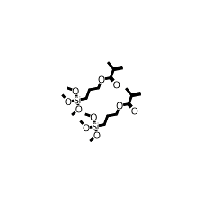 C=C(C)C(=O)OCCC[Si](OC)(OC)OC.C=C(C)C(=O)OCCC[Si](OC)(OC)OC